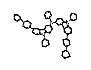 c1ccc(-c2ccc(-c3ccc4c(c3)c3cc(N(c5ccccc5)c5ccc6c(c5)c5cc(-c7ccc(-c8ccccc8)cc7)ccc5n6-c5ccccc5)ccc3n4-c3ccccc3)cc2)cc1